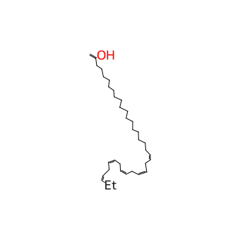 C=C(O)CCCCCCCCCCCCCCCCC/C=C\C/C=C\C/C=C\C/C=C\C/C=C\CC